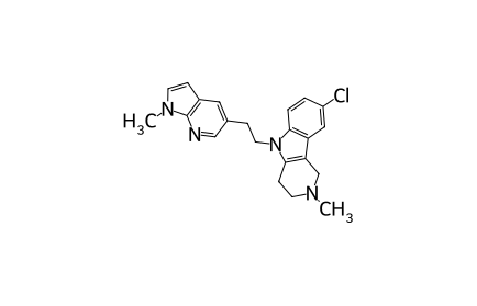 CN1CCc2c(c3cc(Cl)ccc3n2CCc2cnc3c(ccn3C)c2)C1